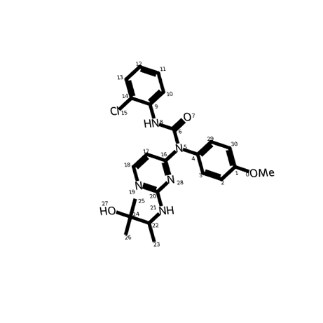 COc1ccc(N(C(=O)Nc2ccccc2Cl)c2ccnc(NC(C)C(C)(C)O)n2)cc1